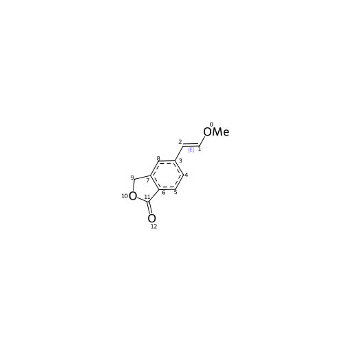 CO/C=C/c1ccc2c(c1)COC2=O